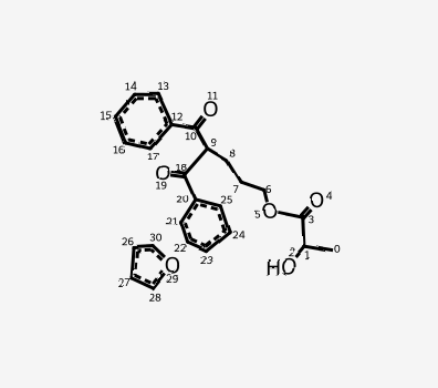 CC(O)C(=O)OCCCC(C(=O)c1ccccc1)C(=O)c1ccccc1.c1ccoc1